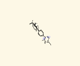 C=C/C(C)=C(\C=C/C1CC1C)c1ccc(N2CCN(C(=C)C)CC2)cc1